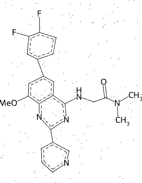 COc1cc(-c2ccc(F)c(F)c2)cc2c(NCC(=O)N(C)C)nc(-c3cccnc3)nc12